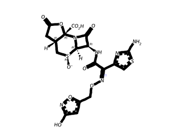 Nc1nc(/C(=N/OCc2cc(O)no2)C(=O)N[C@@H]2C(=O)N3[C@@H]2[S@@+]([O-])C[C@@H]2CC(=O)O[C@@]23C(=O)O)cs1